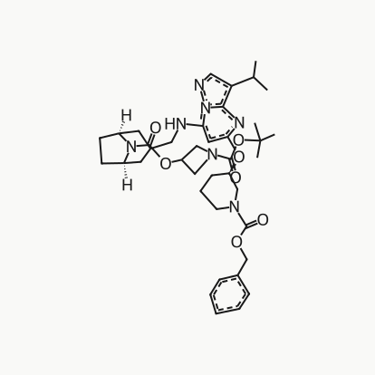 CC(C)c1cnn2c(NCC3C[C@H]4CC[C@@H](C3)N4C(=O)OC3CN(C(=O)OC(C)(C)C)C3)cc(O[C@@H]3CCCN(C(=O)OCc4ccccc4)C3)nc12